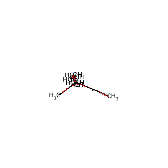 CCCCCCCCCCCCCCCCCCCCCCCCCC(=O)N[C@@H](CO[C@H]1O[C@H](CO)[C@@H](O)[C@H](O)[C@H]1O)[C@H](O)[C@H](O)CCCCCCCCCCCCCC